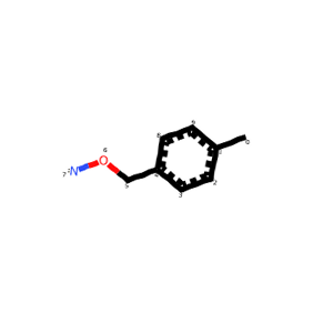 Cc1ccc(CO[N])cc1